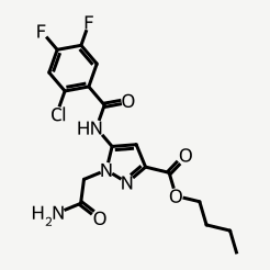 CCCCOC(=O)c1cc(NC(=O)c2cc(F)c(F)cc2Cl)n(CC(N)=O)n1